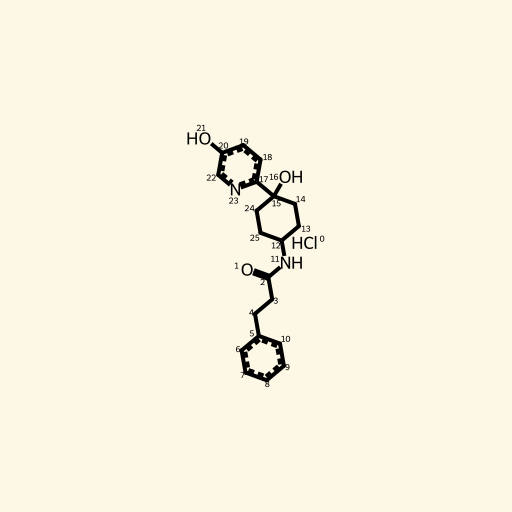 Cl.O=C(CCc1ccccc1)NC1CCC(O)(c2ccc(O)cn2)CC1